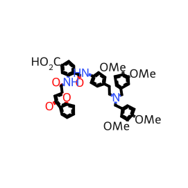 COc1ccc(CN(CCc2ccc(NC(=O)c3ccc(C(=O)O)cc3NC(=O)c3cc(=O)c4ccccc4o3)cc2)Cc2ccc(OC)c(OC)c2)cc1OC